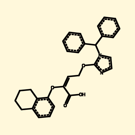 O=C(O)C(=CCOc1nccn1C(c1ccccc1)c1ccccc1)Oc1cccc2c1CCCC2